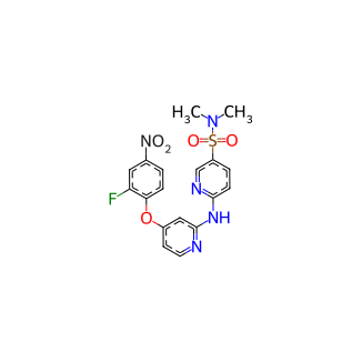 CN(C)S(=O)(=O)c1ccc(Nc2cc(Oc3ccc([N+](=O)[O-])cc3F)ccn2)nc1